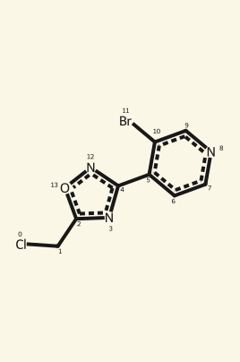 ClCc1nc(-c2ccncc2Br)no1